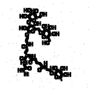 CCNC(=O)CNC(=O)[C@H](CCC(=O)NCCO[C@H]1O[C@H](CO[C@H]2O[C@H](CO)[C@@H](O)[C@H](O)[C@@H]2O)[C@@H](O)[C@H](O[C@H]2O[C@H](CO)[C@@H](O)[C@H](O)[C@@H]2O)[C@@H]1O)NC(=O)CCCC(=O)NCCO[C@@H]1O[C@@H](C)[C@@H](O)[C@@H](O)[C@@H]1O